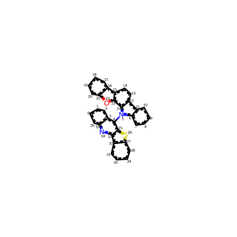 c1ccc2c(-n3c4ccccc4c4ccc5c6ccccc6oc5c43)c3sc4ccccc4c3nc2c1